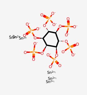 O=P([O-])([O-])O[C@H]1[C@H](OP(=O)([O-])[O-])[C@@H](OP(=O)([O-])[O-])[C@H](OP(=O)([O-])[O-])[C@@H](OP(=O)([O-])[O-])[C@H]1OP(=O)([O-])[O-].[Sn+2].[Sn+2].[Sn+2].[Sn+2].[Sn+2].[Sn+2]